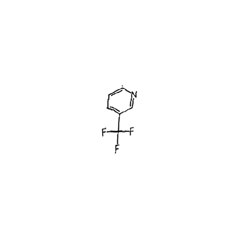 FC(F)(F)c1cc[c]nc1